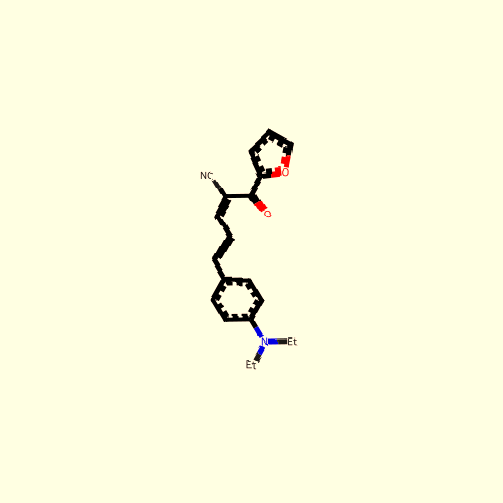 CCN(CC)c1ccc(C=CC=C(C#N)C(=O)c2ccco2)cc1